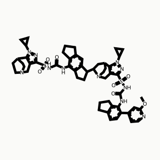 COc1cc(-c2ccc3c(c2NC(=O)NS(=O)(=O)c2nn(C4CC4)c4c2CN2CCC4CC2C2CCc4c2cc2c(c4NC(=O)NS(=O)(=O)c4nn(C5CC5)c5c4CN4CCC5CC4)CCC2)CCC3)ccn1